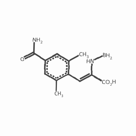 BN/C(=C\c1c(C)cc(C(N)=O)cc1C)C(=O)O